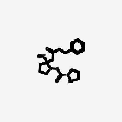 O=C[C@]1(SC(=O)OCc2ccccc2)CCCN1SC(=O)[C@@H]1CCCN1